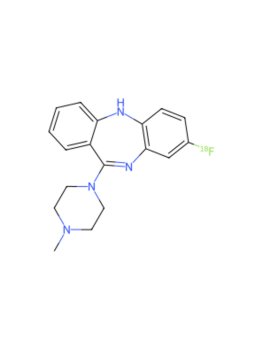 CN1CCN(C2=Nc3cc([18F])ccc3Nc3ccccc32)CC1